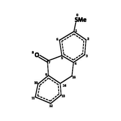 CSc1ccc2c(c1)C(=O)c1ccccc1C2